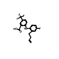 C=CCCc1cc(F)ccc1Nc1ccc(C(F)(F)F)cc1C(=O)O